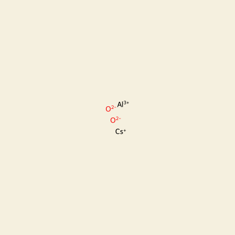 [Al+3].[Cs+].[O-2].[O-2]